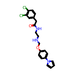 O=C(Cc1ccc(Cl)c(Cl)c1)NCCNCOc1ccc(-n2cccc2)cc1